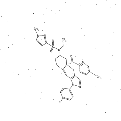 Cn1ccc(S(=O)(=O)N(CC(F)(F)F)[C@H]2CCC3=Cc4c(cnn4-c4ccc(F)cc4)C[C@]3(C(=O)c3ccc(C(F)(F)F)cn3)C2)n1